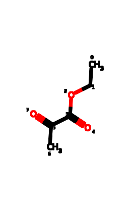 C[CH]OC(=O)C(C)=O